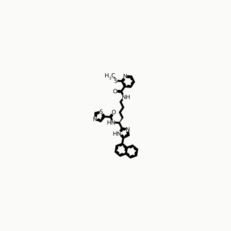 CSc1ncccc1C(=O)NCCCC[C@H](NC(=O)c1cncs1)c1ncc(-c2cccc3ccccc23)[nH]1